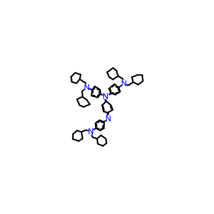 C1=CC(=[N+](c2ccc(N(CC3CCCCC3)CC3CCCCC3)cc2)c2ccc(N(CC3CCCCC3)CC3CCCCC3)cc2)C=CC1=Nc1ccc(N(CC2CCCCC2)CC2CCCCC2)cc1